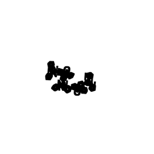 O=c1c2ccccc2c2cc(-c3nc(-c4ccccc4)nc(-c4cccc(-c5ccc6c(c5)c(=O)n5c7ccccc7c7c(-c8cc(-c9ccccn9)nc(-c9ccccn9)c8)ccc6c75)c4)n3)cc3c4cc(-c5nc(-c6ccccc6)nc(-c6ccccc6)n5)ccc4n1c23